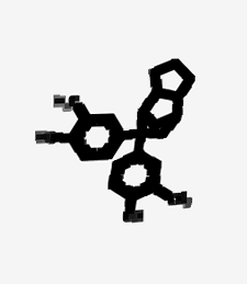 Cc1cc(C2(c3ccc(O)c(C)c3)CC3CC2C2CCCC32)ccc1O